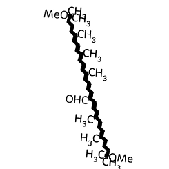 COC(C)(C)CCC/C(C)=C/C=C/C(C)=C/C=C/C(C=O)=C/C=C/C=C(C)/C=C/C=C(C)/C=C/C=C(\C)CCCC(C)(C)OC